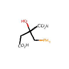 O=C(O)CC(O)(CP)C(=O)O